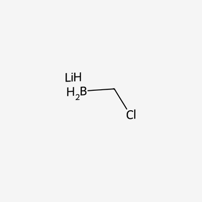 BCCl.[LiH]